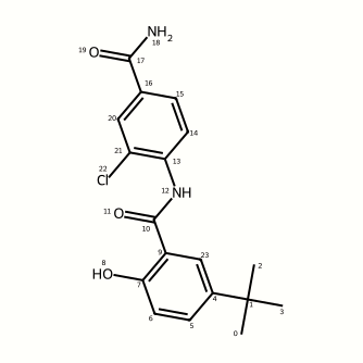 CC(C)(C)c1ccc(O)c(C(=O)Nc2ccc(C(N)=O)cc2Cl)c1